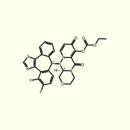 CCOC(=O)Oc1c2n(ccc1=O)N([C@@H]1c3ccccc3-c3scnc3-c3c1ccc(F)c3F)[C@@H]1COCCN1C2=O